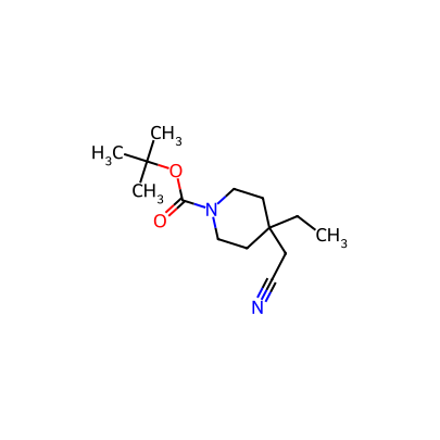 CCC1(CC#N)CCN(C(=O)OC(C)(C)C)CC1